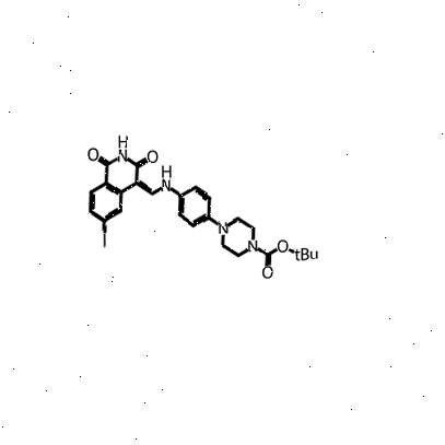 CC(C)(C)OC(=O)N1CCN(c2ccc(NC=C3C(=O)NC(=O)c4ccc(I)cc43)cc2)CC1